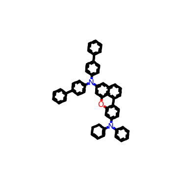 C1=CCCC(N(c2ccccc2)c2ccc3c(c2)Oc2cc(N(c4ccc(-c5ccccc5)cc4)c4ccc(-c5ccccc5)cc4)cc4cccc-3c24)=C1